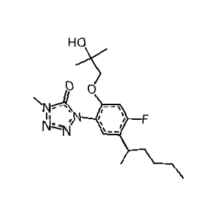 CCCCC(C)c1cc(-n2nnn(C)c2=O)c(OCC(C)(C)O)cc1F